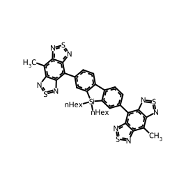 CCCCCC[Si]1(CCCCCC)c2cc(-c3c4c(c(C)c5nsnc35)N=S=N4)ccc2-c2ccc(-c3c4c(c(C)c5nsnc35)N=S=N4)cc21